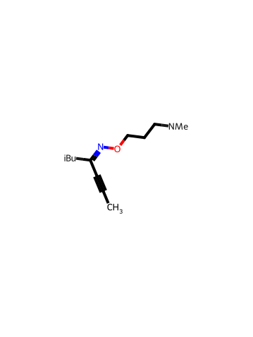 CC#C/C(=N\OCCCNC)C(C)CC